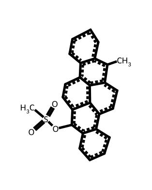 Cc1c2ccccc2c2ccc3c(OS(C)(=O)=O)c4ccccc4c4ccc1c2c34